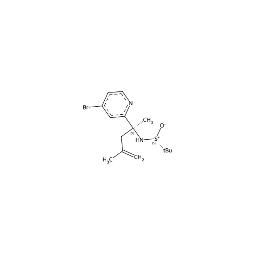 C=C(C)C[C@](C)(N[S@+]([O-])C(C)(C)C)c1cc(Br)ccn1